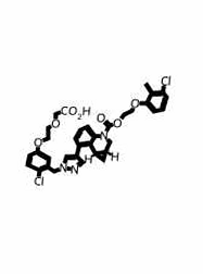 Cc1c(Cl)cccc1OCCOC(=O)N1C[C@@H]2C[C@@H]2c2c(-c3cnn(Cc4cc(OCCOCC(=O)O)ccc4Cl)c3)cccc21